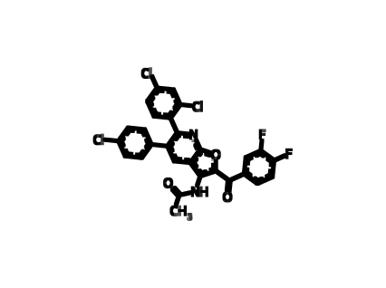 CC(=O)Nc1c(C(=O)c2ccc(F)c(F)c2)oc2nc(-c3ccc(Cl)cc3Cl)c(-c3ccc(Cl)cc3)cc12